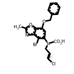 Cc1nc2c(Br)c(N(C/C=C/Cl)C(=O)O)cc(OCc3ccccc3)c2o1